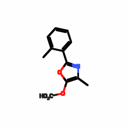 Cc1ccccc1-c1nc(C)c(OC(=O)O)o1